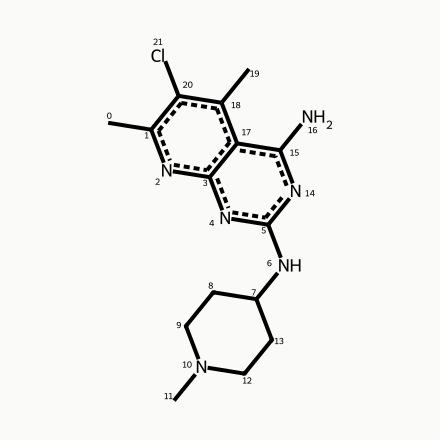 Cc1nc2nc(NC3CCN(C)CC3)nc(N)c2c(C)c1Cl